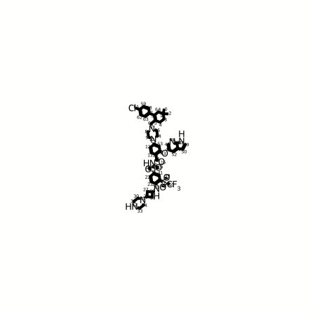 CC1(C)CCC(CN2CCN(c3ccc(C(=O)NS(=O)(=O)c4ccc(NC5CC(N6CCNCC6)C5)c(S(=O)(=O)C(F)(F)F)c4)c(Oc4cnc5[nH]ccc5c4)c3)CC2)=C(c2ccc(Cl)cc2)C1